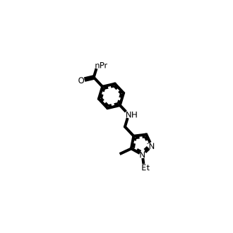 CCCC(=O)c1ccc(NCc2cnn(CC)c2C)cc1